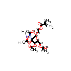 C=C(C)C(=O)OCCO[C@@H]1OC(COC(C)=O)[C@@H](OC(C)=O)C(OC(C)=O)C1NC(C)=O